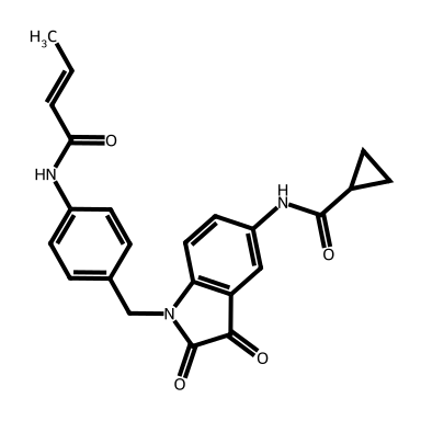 CC=CC(=O)Nc1ccc(CN2C(=O)C(=O)c3cc(NC(=O)C4CC4)ccc32)cc1